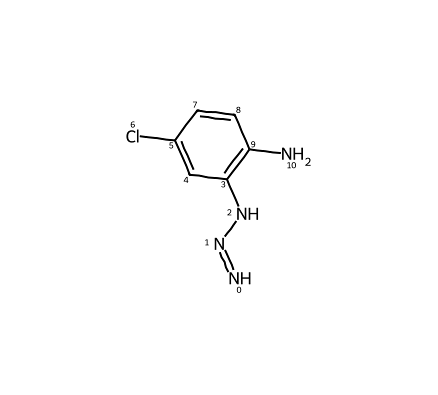 N=NNc1cc(Cl)ccc1N